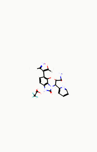 CNC(=O)C1Oc2c(-c3c(C)noc3C)ccc3c2n(c(=O)n3OC(=O)C(F)(F)F)C1c1ccccn1